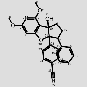 COc1cc2c(c(OC)n1)C1(O)CCC(c3ccccc3)C1(c1ccc(C#N)cc1)O2